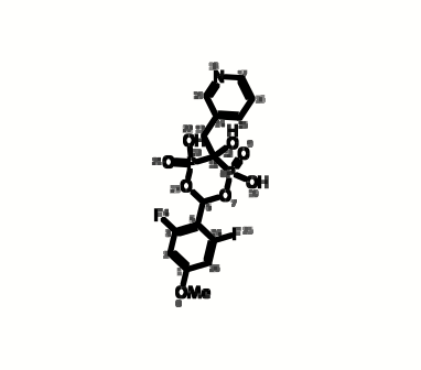 COc1cc(F)c(C2OP(=O)(O)C(O)(Cc3cccnc3)P(=O)(O)O2)c(F)c1